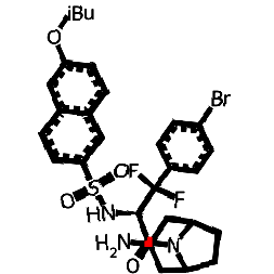 CCC(C)Oc1ccc2cc(S(=O)(=O)N[C@H](C(=O)N3C4CCC3CC(N)C4)C(F)(F)c3ccc(Br)cc3)ccc2c1